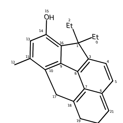 CCC1(CC)c2ccc3c4c2-c2c(c(C)cc(O)c21)CC=4CCC=3